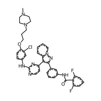 CN1CCN(CCCOc2ccc(Nc3nccc(-c4c(-c5cccc(NC(=O)c6c(F)cccc6F)c5)nn5ccccc45)n3)cc2Cl)CC1